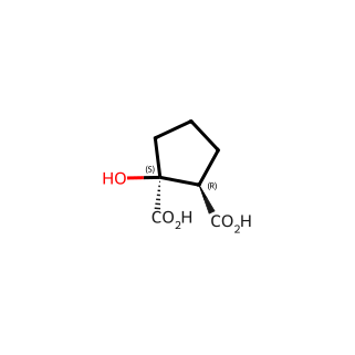 O=C(O)[C@@H]1CCC[C@@]1(O)C(=O)O